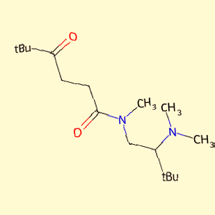 CN(CC(N(C)C)C(C)(C)C)C(=O)CCC(=O)C(C)(C)C